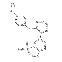 CNS(=O)(=O)c1cc(-c2nccnc2Sc2ccc(OC(F)(F)F)cc2)ccc1OC